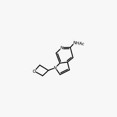 CC(=O)Nc1cc2ccn(C3COC3)c2cn1